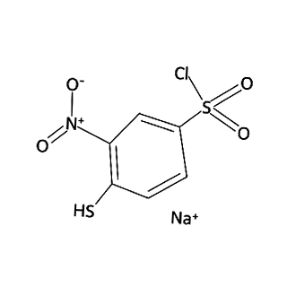 O=[N+]([O-])c1cc(S(=O)(=O)Cl)ccc1S.[Na+]